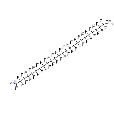 F/[C]=C(\F)C(F)(F)C(F)(F)C(F)(F)C(F)(F)C(F)(F)C(F)(F)C(F)(F)C(F)(F)C(F)(F)C(F)(F)C(F)(F)C(F)(F)C(F)(F)C(F)(F)C(F)(F)C(F)(F)C(F)(F)C(F)(F)C(F)(F)C(F)(F)C(F)(F)C(F)(F)C(F)(F)C(F)(F)F